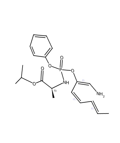 C/C=C/C=C\C(=C/N)OP(=O)(N[C@@H](C)C(=O)OC(C)C)Oc1ccccc1